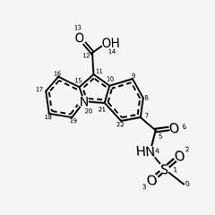 CS(=O)(=O)NC(=O)c1ccc2c(C(=O)O)c3ccccn3c2c1